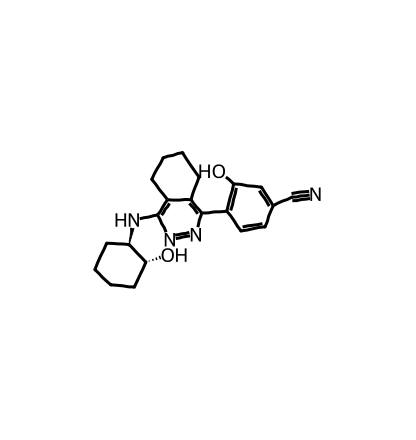 N#Cc1ccc(-c2nnc(N[C@@H]3CCCC[C@H]3O)c3c2CCCC3)c(O)c1